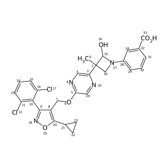 CC1(c2cnc(OCc3c(-c4c(Cl)cccc4Cl)noc3C3CC3)cn2)CN(c2cccc(C(=O)O)c2)C1O